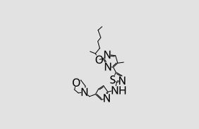 CCCCCC(C)Oc1ncc(C)c(-c2cnc(Nc3ccc(CN4CCOCC4)cn3)s2)n1